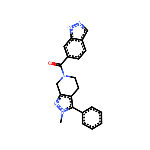 Cn1nc2c(c1-c1ccccc1)CCN(C(=O)c1ccc3cn[nH]c3c1)C2